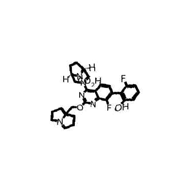 O=C(O)N1[C@@H]2CC[C@H]1CN(c1nc(OCC34CCCN3CCC4)nc3c(F)c(-c4c(O)cccc4F)ccc13)C2